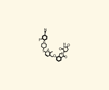 CC1=C(COc2cccc3c2CN([C@@H]2CCC(=O)NC2=O)C3=O)C=CC(SC2CCN(c3ccc(C#N)cc3F)CC2)N1C